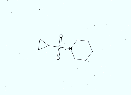 O=S(=O)(C1CC1)N1[CH]CCCC1